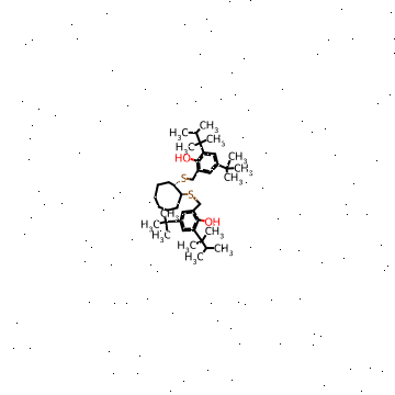 CC(C)C(C)(C)c1cc(C(C)(C)C)cc(CS[C@H]2CCCCCC[C@@H]2SCc2cc(C(C)(C)C)cc(C(C)(C)C(C)C)c2O)c1O